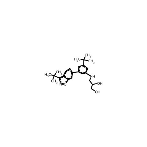 CC(C)(C)c1cc(NCC(O)CO)cc(-c2ccc3c(C(C)(C)C)noc3c2)c1